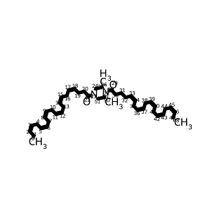 CC/C=C\C/C=C\C/C=C\C/C=C\C/C=C\C/C=C\CCC(=O)N1C[C@@H](C)N(C(=O)CCC/C=C\C/C=C\C/C=C\C/C=C\C/C=C\CC)[C@@H](C)C1